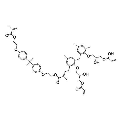 C=CC(=O)OCC(O)COc1c(C/C=C(\C)C(=O)OCCOc2ccc(C(C)(C)c3ccc(OCCOC(=O)C(=C)C)cc3)cc2)cc(C)cc1Cc1cc(C)cc(C)c1OCC(O)COC(O)C=C